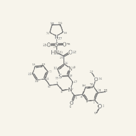 COc1cc(C(=O)N(CCCc2ccccc2)Cc2nc(C(=O)NS(=O)(=O)N3CCCC3)cs2)cc(OC)c1C